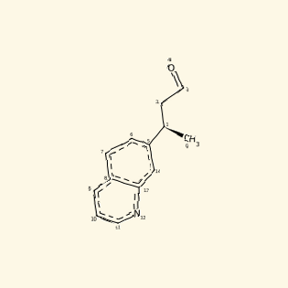 C[C@H](CC=O)c1ccc2cccnc2c1